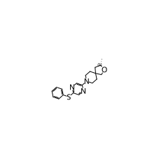 C[C@H]1CC2(CCN(c3cnc(Sc4ccccc4)cn3)CC2)CO1